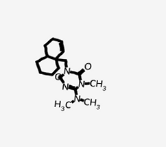 CN(C)c1nc(=O)n(CC23C=CCCC2CCCC3)c(=O)n1C